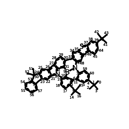 CC(C)(C)c1ccc(N2B3c4cc(C(C)(C)C)ccc4-n4c5cc6c(cc5c5ccc(c3c54)-c3cc4sc5cc(C(C)(C)C)ccc5c4cc32)C(C)(C)c2ccccc2-6)cc1